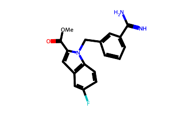 COC(=O)c1cc2cc(F)ccc2n1Cc1cccc(C(=N)N)c1